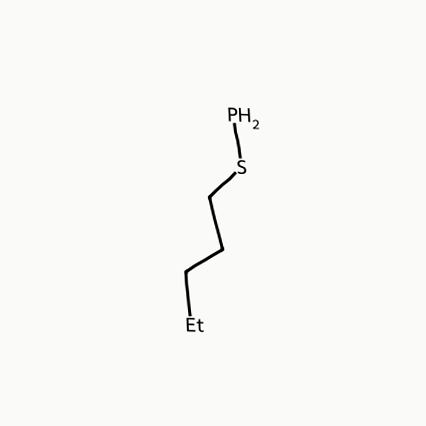 CCCCCSP